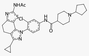 CC(=O)Nc1nc2c(s1)-c1c(c(C3CC3)nn1-c1ccc(NC(=O)C3CCN(C4CCCC4)CC3)cc1Cl)CC2